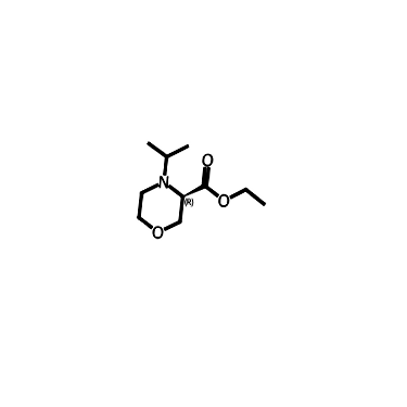 CCOC(=O)[C@H]1COCCN1C(C)C